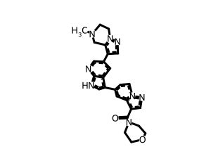 CN1CCn2ncc(-c3cnc4[nH]cc(-c5ccn6ncc(C(=O)N7CCOCC7)c6c5)c4c3)c2C1